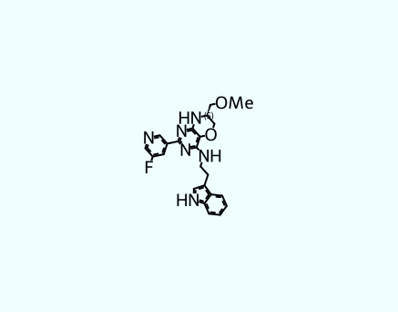 COC[C@H]1COc2c(NCCc3c[nH]c4ccccc34)nc(-c3cncc(F)c3)nc2N1